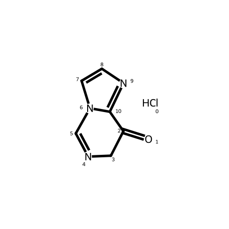 Cl.O=C1CN=Cn2ccnc21